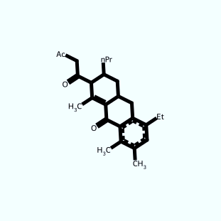 CCCC1CC2Cc3c(CC)cc(C)c(C)c3C(=O)C2=C(C)C1C(=O)CC(C)=O